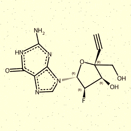 C#C[C@]1(CO)O[C@@H](n2cnc3c(=O)[nH]c(N)nc32)[C@H](F)[C@@H]1O